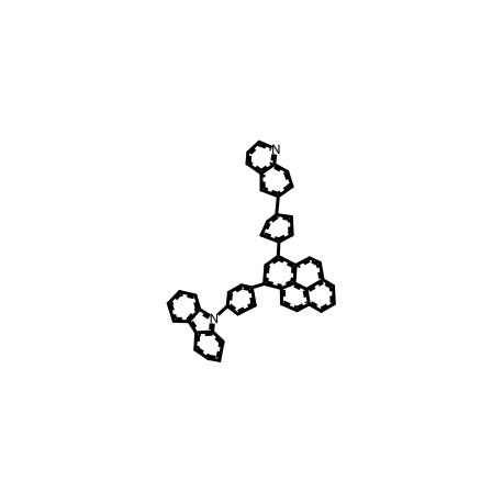 c1cnc2ccc(-c3ccc(-c4cc(-c5ccc(-n6c7ccccc7c7ccccc76)cc5)c5ccc6cccc7ccc4c5c76)cc3)cc2c1